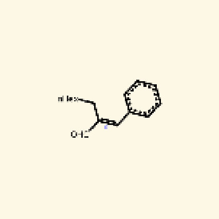 CCCCCCC/C(C=O)=C\c1ccccc1